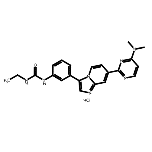 CN(C)c1ccnc(-c2ccn3c(-c4cccc(NC(=O)NCC(F)(F)F)c4)cnc3c2)n1.Cl